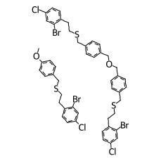 COc1ccc(CSCCc2ccc(Cl)cc2Br)cc1.Clc1ccc(CCSCc2ccc(COCc3ccc(CSCCc4ccc(Cl)cc4Br)cc3)cc2)c(Br)c1